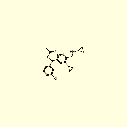 CC(=O)ON(c1cccc(Cl)c1)c1cc(C2CC2)c(CNC2CC2)cn1